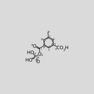 Cc1cc(C(=O)O)cc(C(=O)OP(=O)(O)O)c1